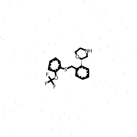 FC(F)(F)Oc1ccccc1SCc1ccccc1[C@H]1CNCCO1